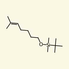 CC(C)=CCCCCO[Si](C)(C)C(C)(C)C